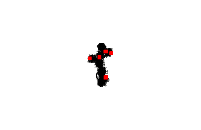 c1ccc(N(c2ccccc2)c2ccc(N(c3ccccc3)c3ccc(-c4ccc5c(c4)oc4c6ccccc6ccc54)cc3)cc2)cc1